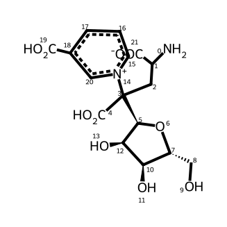 NC(CC(C(=O)O)([C@H]1O[C@H](CO)[C@@H](O)[C@H]1O)[n+]1cccc(C(=O)O)c1)C(=O)[O-]